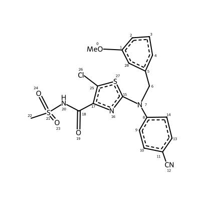 COc1cccc(CN(c2ccc(C#N)cc2)c2nc(C(=O)NS(C)(=O)=O)c(Cl)s2)c1